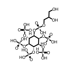 O=P(O)(O)O[C@@H]1[C@@H](OP(=O)(O)O)[C@H](OP(=O)(O)O)[C@@H](OP(=O)(O)OCC(O)CO)[C@@H](OP(=O)(O)O)[C@H]1OP(=O)(O)O